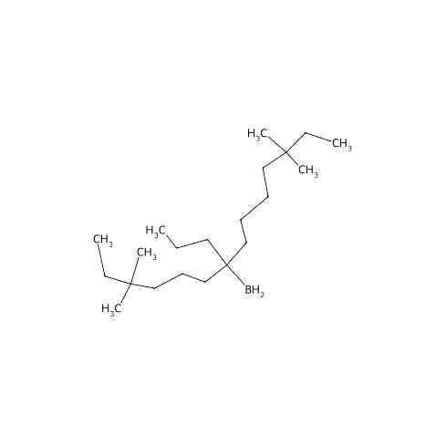 BC(CCC)(CCCCC(C)(C)CC)CCCC(C)(C)CC